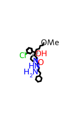 COCCCC[C@@](O)(c1cccc(Cl)c1)[C@@H]1CCCN(C(=O)NCC(N)CC2CCCCC2)C1